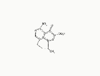 CC1CCc2ccc([N+](=O)[O-])c3c(=O)c(C(=O)O)cn1c23